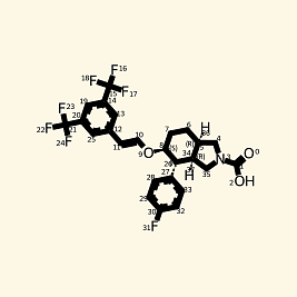 O=C(O)N1C[C@@H]2CC[C@H](OC=Cc3cc(C(F)(F)F)cc(C(F)(F)F)c3)[C@@H](c3ccc(F)cc3)[C@@H]2C1